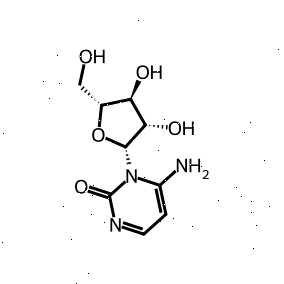 Nc1ccnc(=O)n1[C@@H]1O[C@H](CO)[C@@H](O)[C@@H]1O